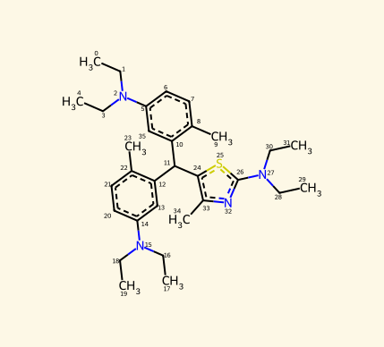 CCN(CC)c1ccc(C)c(C(c2cc(N(CC)CC)ccc2C)c2sc(N(CC)CC)nc2C)c1